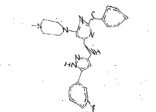 CN1CCN(c2cc(Nc3cc(-c4cccc(F)c4)[nH]n3)nc(Sc3ccccc3)n2)CC1